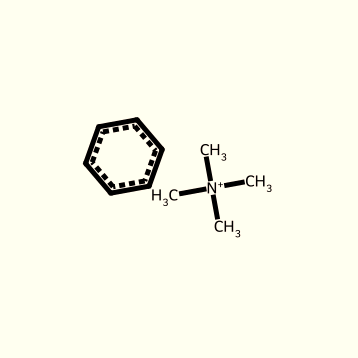 C[N+](C)(C)C.c1ccccc1